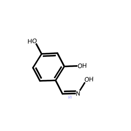 O/N=C\c1ccc(O)cc1O